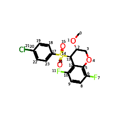 CO[C@@H]1COc2c(F)ccc(F)c2[C@H]1S(=O)(=O)c1ccc(Cl)cc1